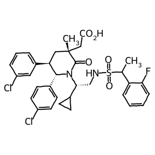 CC(c1ccccc1F)S(=O)(=O)NC[C@H](C1CC1)N1C(=O)[C@@](C)(CC(=O)O)C[C@H](c2cccc(Cl)c2)[C@H]1c1ccc(Cl)cc1